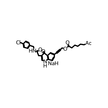 CC(=O)CCCCCC(=O)OCC#Cc1ccc2[nH]cc(CC(=O)NCc3ccc(Cl)cc3)c(=O)c2c1.[NaH]